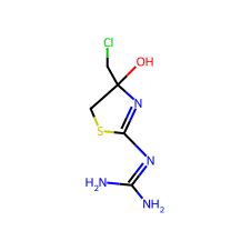 NC(N)=NC1=NC(O)(CCl)CS1